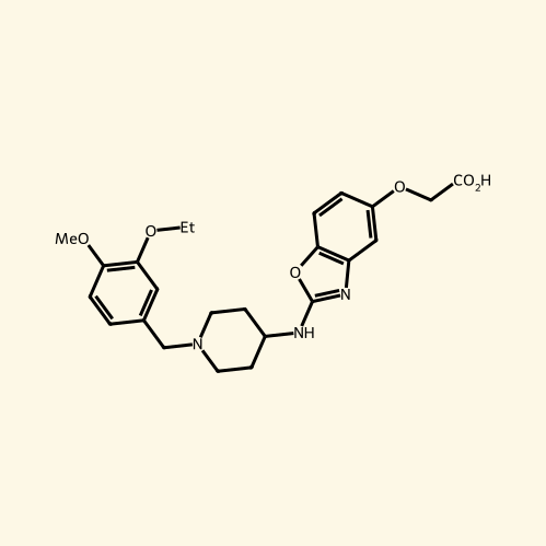 CCOc1cc(CN2CCC(Nc3nc4cc(OCC(=O)O)ccc4o3)CC2)ccc1OC